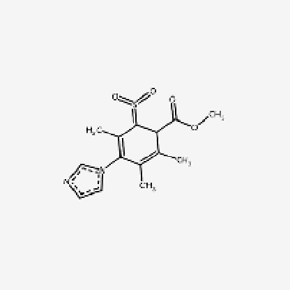 COC(=O)C1C(C)=C(C)C(n2ccnc2)=C(C)C1=S(=O)=O